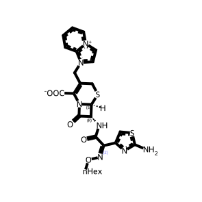 CCCCCCO/N=C(\C(=O)N[C@@H]1C(=O)N2C(C(=O)[O-])=C(Cn3cc[n+]4ccccc34)CS[C@@H]12)c1csc(N)n1